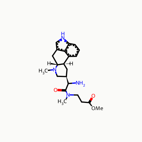 COC(=O)CCN(C)C(=O)C(N)[C@@H]1C[C@@H]2c3cccc4[nH]cc(c34)C[C@H]2N(C)C1